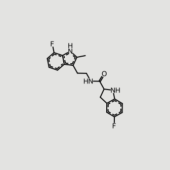 Cc1[nH]c2c(F)cccc2c1CCNC(=O)C1Cc2cc(F)ccc2N1